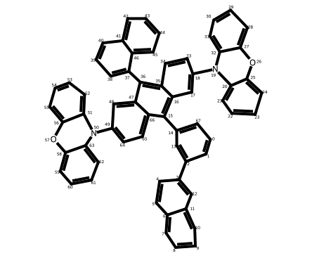 c1cc(-c2ccc3ccccc3c2)cc(-c2c3cc(N4c5ccccc5Oc5ccccc54)ccc3c(-c3cccc4ccccc34)c3cc(N4c5ccccc5Oc5ccccc54)ccc23)c1